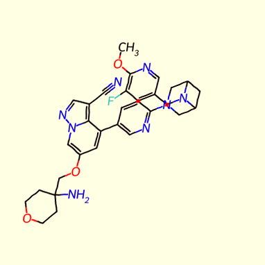 COc1ncc(CN2C3CC2CN(c2ccc(-c4cc(OCC5(N)CCOCC5)cn5ncc(C#N)c45)cn2)C3)cc1F